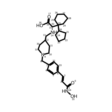 O=C(C=Cc1ccc(CN2CCC(CN[C@H](C(=O)O)C3(C4CCCC4)CCCCC3)CC2)cc1)NO